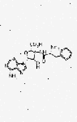 Nc1ncnc2c1ncn2[C@@H]1O[C@H](C(=O)O)[C@@H](NC(=O)[C@H](N)Cc2ccccc2)[C@H]1O